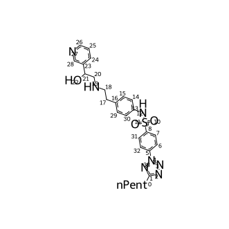 CCCCCc1nnn(-c2ccc(S(=O)(=O)Nc3ccc(CCNCC(O)c4cccnc4)cc3)cc2)n1